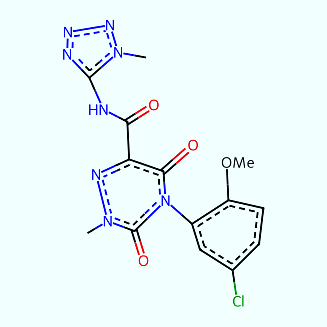 COc1ccc(Cl)cc1-n1c(=O)c(C(=O)Nc2nnnn2C)nn(C)c1=O